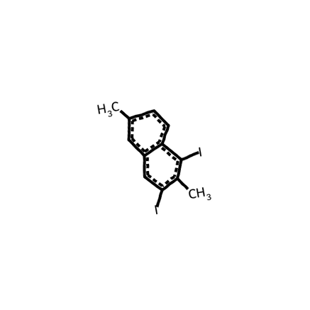 Cc1ccc2c(I)c(C)c(I)cc2c1